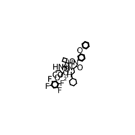 O=C(O)CC(NC(=O)C1(C(=O)NC(CCC2CCCCC2)C(=O)Nc2cccc(Oc3ccccc3)c2)CCC1)C(=O)COc1c(F)c(F)cc(F)c1F